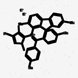 CC1=[C]([Zr+2](=[C](c2ccc(C(C)(C)C)cc2)c2ccc(C(C)(C)C)cc2)[c]2c(C(C)(C)C)ccc3c2Cc2cc(C(C)(C)C)ccc2-3)C(C)C=C1C(C)C.[Cl-].[Cl-]